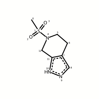 CS(=O)(=O)N1CCc2[c]n[nH]c2C1